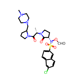 C[C@@H](C(=O)N1CCCC1CN1CCN(C)CC1)N1CC[C@H](N(OC=O)S(=O)(=O)c2ccc3cc(Cl)ccc3c2)C1=O